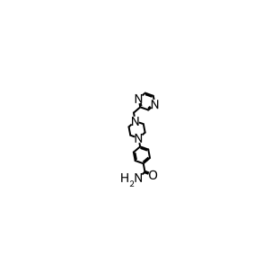 NC(=O)c1ccc(N2CCN(Cc3cnccn3)CC2)cc1